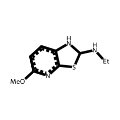 CCNC1Nc2ccc(OC)nc2S1